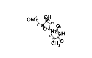 COC[C@H]1OC(n2cc(C)c(=O)[nH]c2=O)C[C@@H]1O